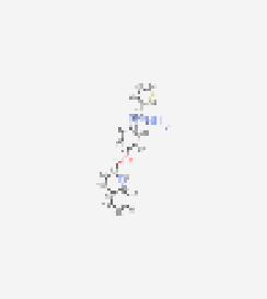 N/C(=N\c1ccc(OCc2ccc3ccccc3n2)cc1)c1cccs1